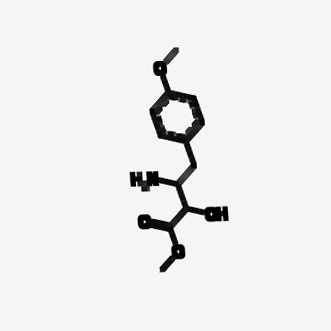 COC(=O)C(O)C(N)Cc1ccc(OC)cc1